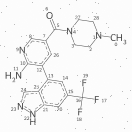 CN1CCN(C(=O)c2cnc(N)c(-c3cc(C(F)(F)F)cc4[nH]ncc34)c2)CC1